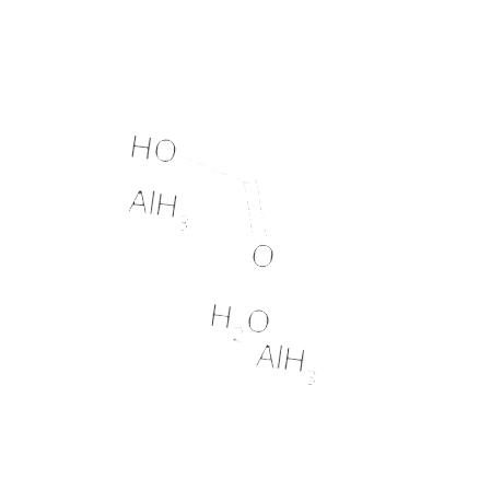 CC(=O)O.O.[AlH3].[AlH3]